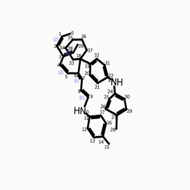 C\C=C/C(/C=C\C(=C/C=C/Nc1ccc(C)cc1)C1(c2ccc(Nc3ccc(C)cc3)cc2)CCCCC1)=C\C